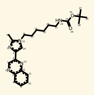 Cc1nc(-c2cnc3ccccc3n2)cn1CCCCCCNC(=O)OC(C)(C)C